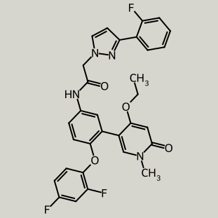 CCOc1cc(=O)n(C)cc1-c1cc(NC(=O)Cn2ccc(-c3ccccc3F)n2)ccc1Oc1ccc(F)cc1F